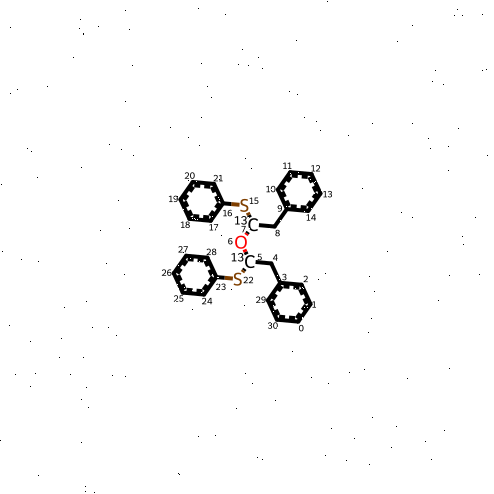 c1ccc(C[13CH](O[13CH](Cc2ccccc2)Sc2ccccc2)Sc2ccccc2)cc1